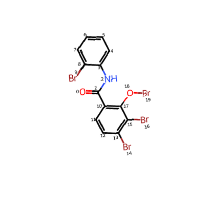 O=C(Nc1ccccc1Br)c1ccc(Br)c(Br)c1OBr